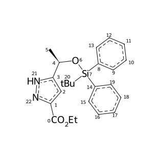 CCOC(=O)c1cc([C@@H](C)O[Si](c2ccccc2)(c2ccccc2)C(C)(C)C)[nH]n1